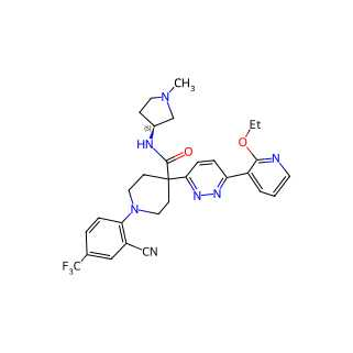 CCOc1ncccc1-c1ccc(C2(C(=O)N[C@H]3CCN(C)C3)CCN(c3ccc(C(F)(F)F)cc3C#N)CC2)nn1